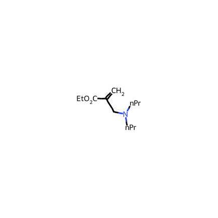 C=C(CN(CCC)CCC)C(=O)OCC